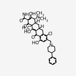 CN(C)[C@@H]1C(O)=C(C(N)=O)C(=O)[C@@]2(C)C(O)=C3C(=O)c4c(O)cc(CN5CCC(c6ccccc6)CC5)c(Cl)c4C[C@H]3C[C@@H]12